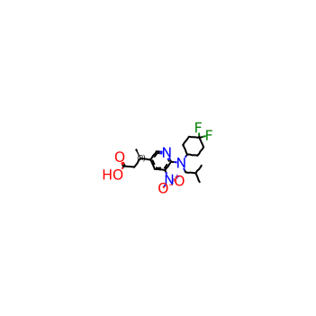 CC(C)CN(c1ncc([C@H](C)CC(=O)O)cc1[N+](=O)[O-])C1CCC(F)(F)CC1